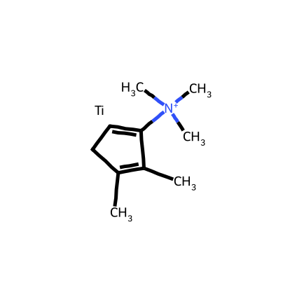 CC1=C(C)C([N+](C)(C)C)=CC1.[Ti]